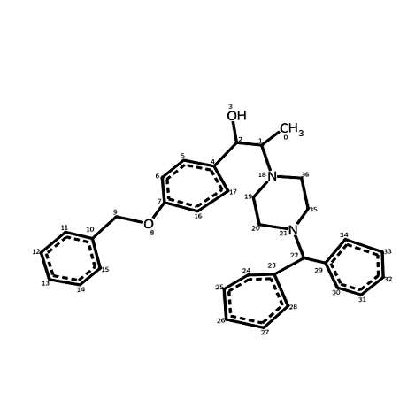 CC(C(O)c1ccc(OCc2ccccc2)cc1)N1CCN(C(c2ccccc2)c2ccccc2)CC1